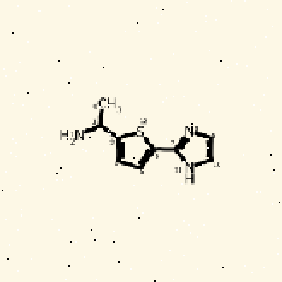 CC(N)c1ccc(-c2ncc[nH]2)s1